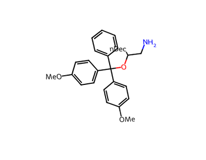 CCCCCCCCCCC(CN)OC(c1ccccc1)(c1ccc(OC)cc1)c1ccc(OC)cc1